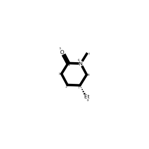 CC[C@@H]1CCC(=O)N(C)C1